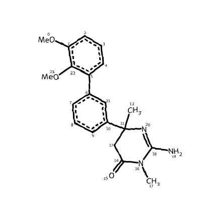 COc1cccc(-c2cccc(C3(C)CC(=O)N(C)C(N)=N3)c2)c1OC